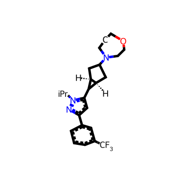 CC(C)n1nc(-c2cccc(C(F)(F)F)c2)cc1C1[C@H]2CC(N3CCCOCC3)C[C@@H]12